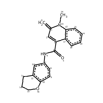 C=C1C=C(C(=O)Nc2ccc3c(c2)CCCO3)c2ccccc2N1C